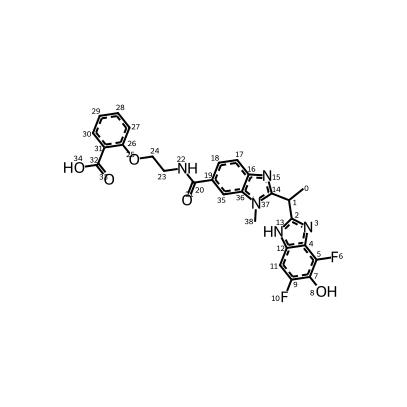 CC(c1nc2c(F)c(O)c(F)cc2[nH]1)c1nc2ccc(C(=O)NCCOc3ccccc3C(=O)O)cc2n1C